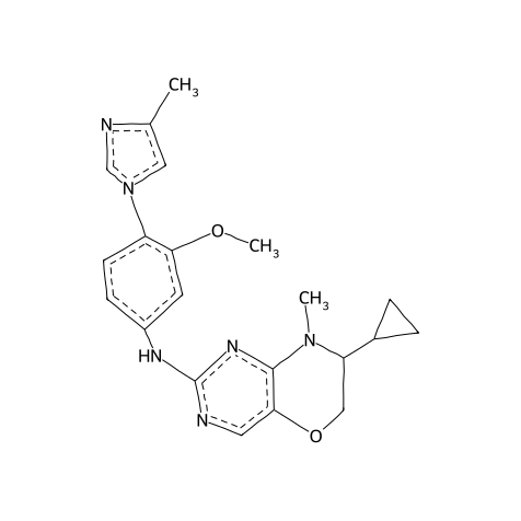 COc1cc(Nc2ncc3c(n2)N(C)C(C2CC2)CO3)ccc1-n1cnc(C)c1